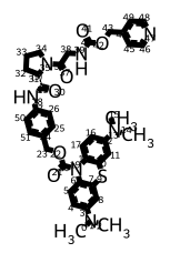 CN(C)c1ccc2c(c1)Sc1cc(N(C)C)ccc1N2C(=O)OCc1ccc(NC(=O)[C@@H]2CCCN2C(=O)CNC(=O)OCc2ccncc2)cc1